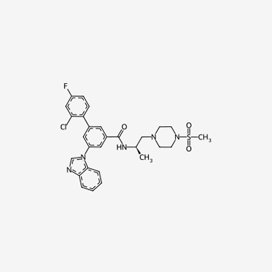 C[C@H](CN1CCN(S(C)(=O)=O)CC1)NC(=O)c1cc(-c2ccc(F)cc2Cl)cc(-n2cnc3ccccc32)c1